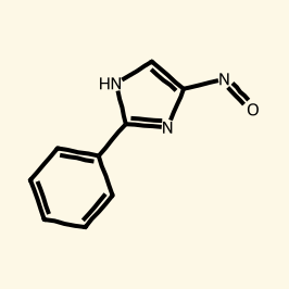 O=Nc1c[nH]c(-c2ccccc2)n1